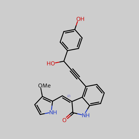 COc1cc[nH]c1/C=C1\C(=O)Nc2cccc(C#CC(O)c3ccc(O)cc3)c21